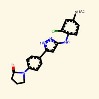 CC(=O)Nc1ccc(Nc2cc(-c3ccc(N4CCCC4=O)cc3)[nH]n2)c(Cl)c1